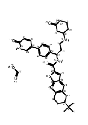 CC(C)(C)[C@H]1CCc2nc3sc(C(=O)N[C@H](CCNC4CCNC(=O)C4)c4ccc(-c5ccc(=O)[nH]c5)cc4)cc3cc2C1.O=CO